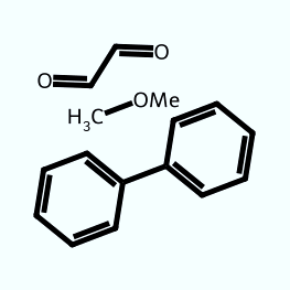 COC.O=CC=O.c1ccc(-c2ccccc2)cc1